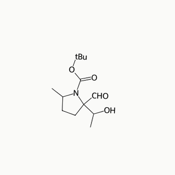 CC1CCC(C=O)(C(C)O)N1C(=O)OC(C)(C)C